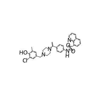 C=C(c1ccc(NS(=O)(=O)c2cccc3cccnc23)cc1)N1CCN(Cc2cc(C)c(O)c(Cl)c2)CC1